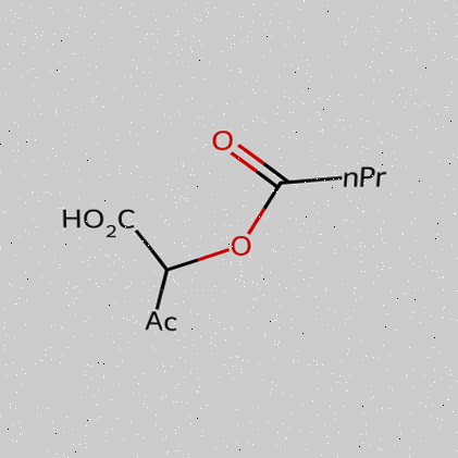 CCCC(=O)OC(C(C)=O)C(=O)O